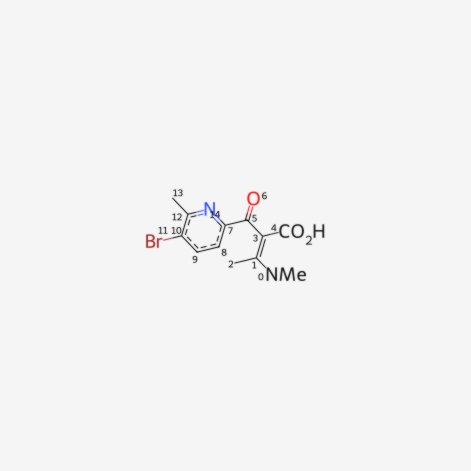 CNC(C)=C(C(=O)O)C(=O)c1ccc(Br)c(C)n1